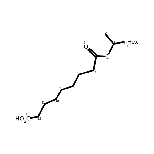 CCCCCCC(C)OC(=O)CCCCCCCC(=O)O